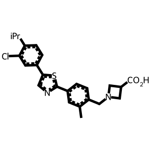 Cc1cc(-c2ncc(-c3ccc(C(C)C)c(Cl)c3)s2)ccc1CN1CC(C(=O)O)C1